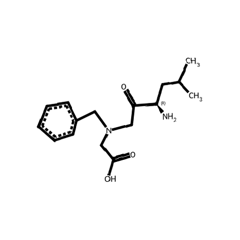 CC(C)C[C@@H](N)C(=O)CN(CC(=O)O)Cc1ccccc1